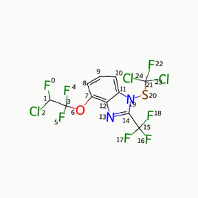 FC(Cl)C(F)(F)Oc1cccc2c1nc(C(F)(F)F)n2SC(F)(Cl)Cl